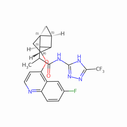 CC(C(=O)Nc1nnc(C(F)(F)F)[nH]1)[C@@H]1C2[C@H](Oc3ccnc4ccc(F)cc34)C[C@]13C[C@@H]23